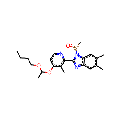 CCCCOC(C)Oc1ccnc(-c2nc3cc(C)c(C)cc3n2[S+](C)[O-])c1C